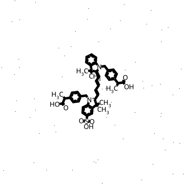 CC(C(=O)O)c1ccc(CN2/C(=C/C=C/C=C/C3=[N+](Cc4ccc(C(C)C(=O)O)cc4)c4ccc(S(=O)(=O)O)cc4C3(C)C)C(C)(C)c3ccccc32)cc1